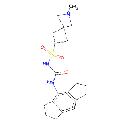 CN1CC2(CC(S(=O)(=O)NC(=O)Nc3c4c(cc5c3CCC5)CCC4)C2)C1